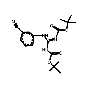 CC(C)(C)OC(=O)/N=C(/NC(=O)OC(C)(C)C)Nc1cccc(C#N)c1